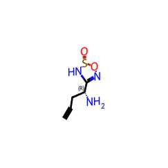 C#CC[C@@H](N)C1=NOS(=O)N1